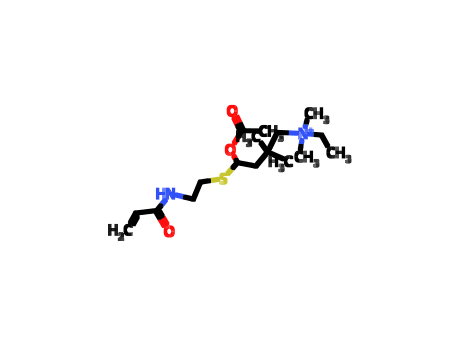 C=CC(=O)NCCSC(CC(C)(C)C[N+](C)(C)CC)OC(C)=O